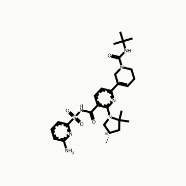 C[C@@H]1CN(c2nc(C3=CCCN(C(=O)NC(C)(C)C)C3)ccc2C(=O)NS(=O)(=O)c2cccc(N)n2)C(C)(C)C1